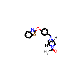 CC(=O)N1C[C@H]2C[C@@H]1CN2Cc1ccc(Oc2nc3ccccc3s2)cc1